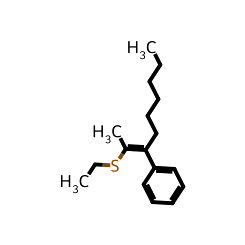 CCCCCCC(=C(C)SCC)c1ccccc1